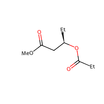 CCC(=O)O[C@H](CC)CC(=O)OC